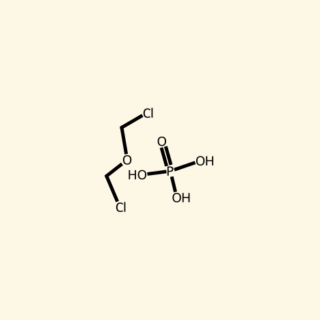 ClCOCCl.O=P(O)(O)O